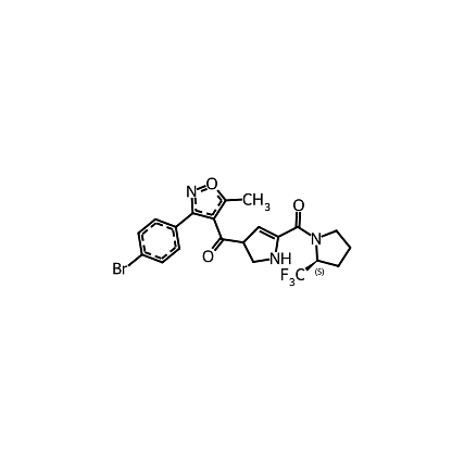 Cc1onc(-c2ccc(Br)cc2)c1C(=O)C1C=C(C(=O)N2CCC[C@H]2C(F)(F)F)NC1